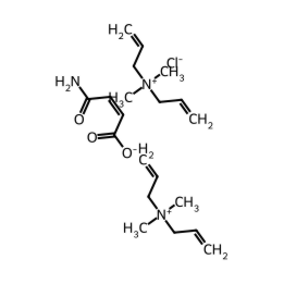 C=CC[N+](C)(C)CC=C.C=CC[N+](C)(C)CC=C.NC(=O)/C=C\C(=O)[O-].[Cl-]